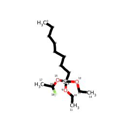 CCCCCCCC[Si](OCC)(OCC)OC(C)F